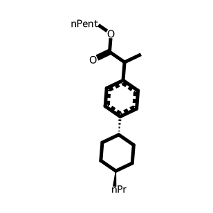 CCCCCOC(=O)C(C)c1ccc([C@H]2CC[C@H](CCC)CC2)cc1